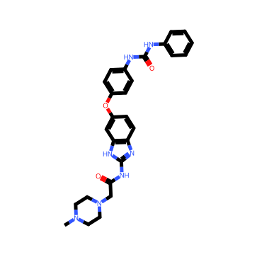 CN1CCN(CC(=O)Nc2nc3ccc(Oc4ccc(NC(=O)Nc5ccccc5)cc4)cc3[nH]2)CC1